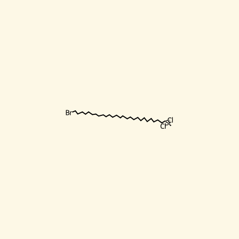 C[Si](Cl)(Cl)CCCCCCCCCCCCCCCCCCCCCCCCCCCBr